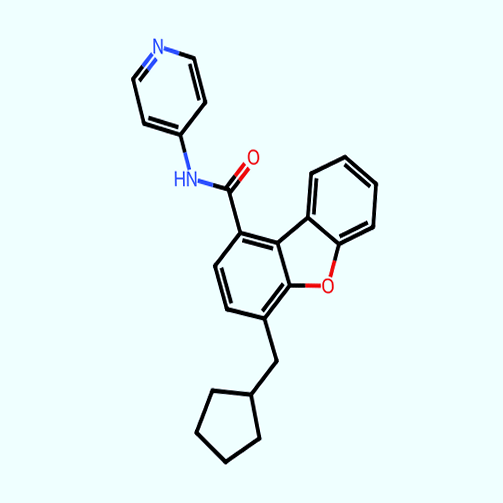 O=C(Nc1ccncc1)c1ccc(CC2CCCC2)c2oc3ccccc3c12